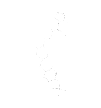 CC(C)(C)Oc1ccc(CN2CCC(CCCC(=O)c3ncco3)CC2)cc1